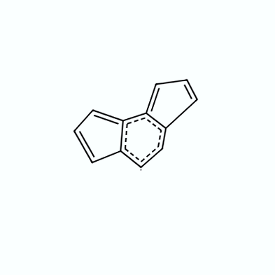 [c]1cc2c(c3c1C=CC=3)=CC=C2